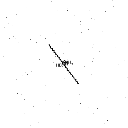 Br.CCCCCCCCCCCCCCCCCCC(CCCCCCCCCCCCCCCCCC)S(N)(=O)=O